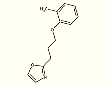 Cc1ccccc1OCCCc1ncco1